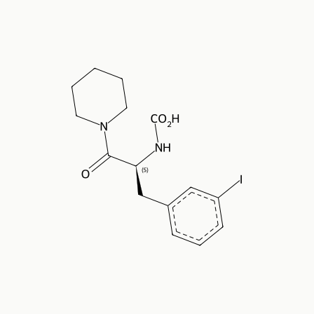 O=C(O)N[C@@H](Cc1cccc(I)c1)C(=O)N1CCCCC1